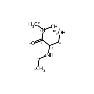 CCNC(CO)C(=O)N(C)C